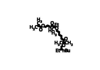 C=C(C)C(=O)OCCNC(=O)C(C)(CC)OCCCCCC(=O)C(C)(C)OCC(CC)CCCC